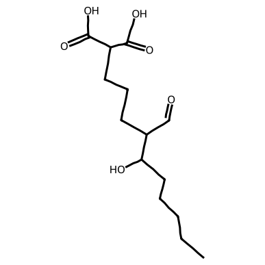 CCCCCC(O)C(C=O)CCCC(C(=O)O)C(=O)O